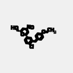 CCOc1ccc(Cc2cc([C@H]3CC(N=O)C[C@@H](CO)O3)ccc2Cl)cc1